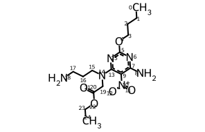 CCCCOc1nc(N)c([N+](=O)[O-])c(N(CCCN)CC(=O)OCC)n1